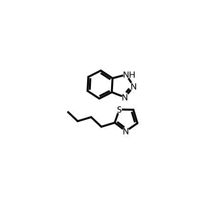 CCCCc1nccs1.c1ccc2[nH]nnc2c1